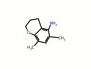 Cc1cc(C)c2c(c1N)CCCO2